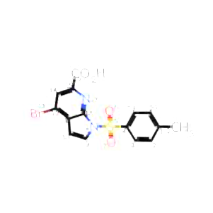 Cc1ccc(S(=O)(=O)n2ccc3c(Br)cc(C(=O)O)nc32)cc1